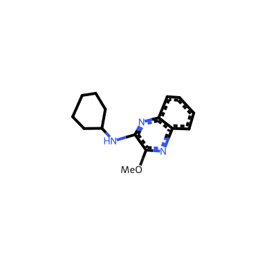 COc1nc2ccccc2nc1NC1CCCCC1